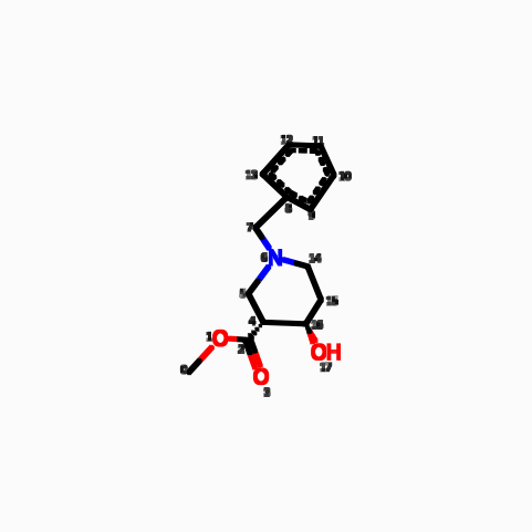 COC(=O)[C@@H]1CN(Cc2ccccc2)CC[C@H]1O